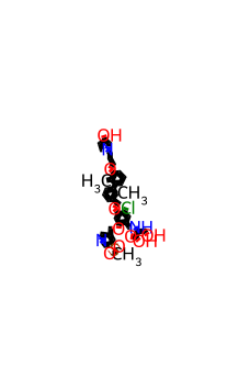 Cc1c(COc2cc(OCc3cncc(S(C)(=O)=O)c3)c(CNC(CO)C(=O)O)cc2Cl)cccc1-c1cccc(OCCCN2CCC(O)C2)c1C